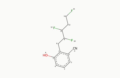 N#Cc1cccc(O)c1CC(F)C(F)CCF